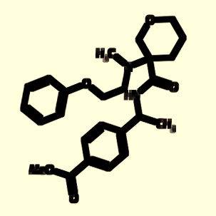 COC(=O)c1ccc(C(C)NC(=O)C2(N(C)CCOc3ccccc3)CCCOC2)cc1